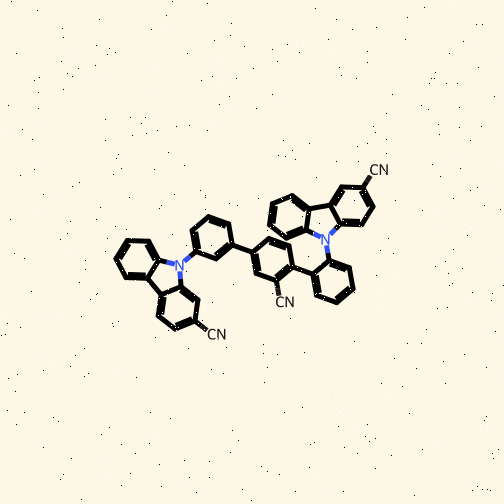 N#Cc1ccc2c(c1)c1ccccc1n2-c1ccccc1-c1ccc(-c2cccc(-n3c4ccccc4c4ccc(C#N)cc43)c2)cc1C#N